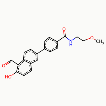 COCCNC(=O)c1ccc(-c2ccc3c(C=O)c(O)ccc3c2)cc1